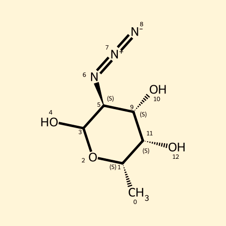 C[C@@H]1OC(O)[C@@H](N=[N+]=[N-])[C@H](O)[C@@H]1O